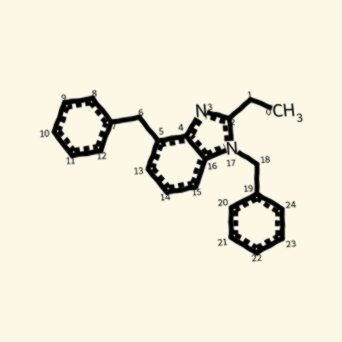 CCc1nc2c(Cc3ccccc3)cccc2n1Cc1ccccc1